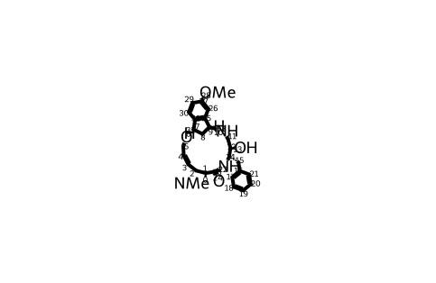 CN[C@H]1CC=CCO[C@@H]2C[C@H](NC[C@@H](O)[C@H](Cc3ccccc3)NC1=O)c1cc(OC)ccc12